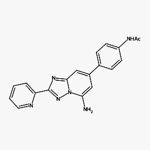 CC(=O)Nc1ccc(-c2cc(N)n3nc(-c4ccccn4)nc3c2)cc1